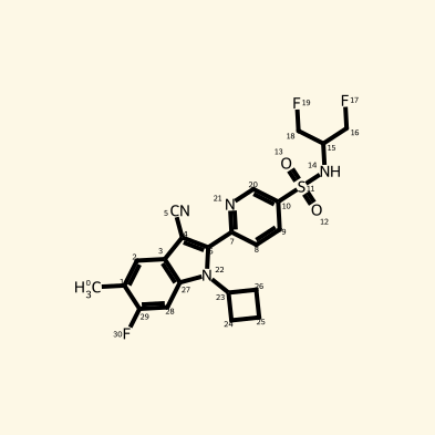 Cc1cc2c(C#N)c(-c3ccc(S(=O)(=O)NC(CF)CF)cn3)n(C3CCC3)c2cc1F